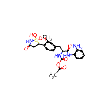 Cc1cc(C[C@H](NC(=O)OC(=O)C(F)(F)F)C(=O)Nc2ccccc2N)ccc1C1CC(=O)NS1(O)O